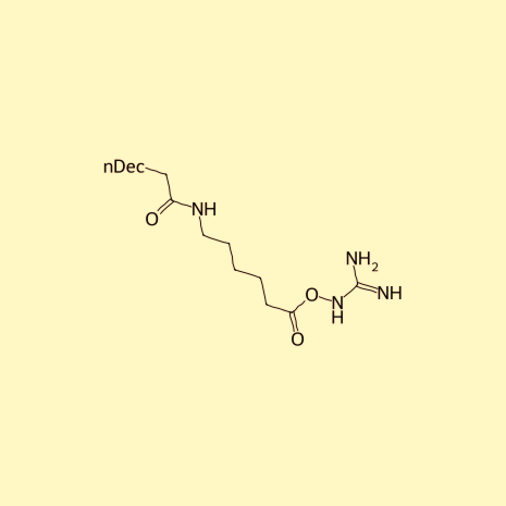 CCCCCCCCCCCC(=O)NCCCCCC(=O)ONC(=N)N